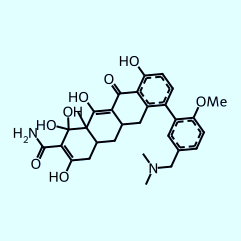 COc1ccc(CN(C)C)cc1-c1ccc(O)c2c1CC1CC3CC(O)=C(C(N)=O)C(O)(O)C3(C)C(O)=C1C2=O